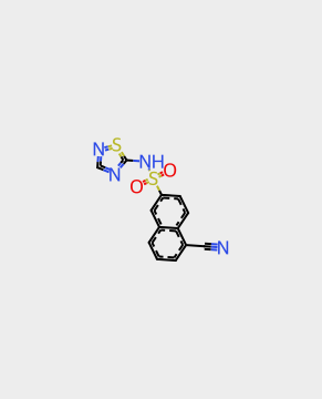 N#Cc1cccc2cc(S(=O)(=O)Nc3ncns3)ccc12